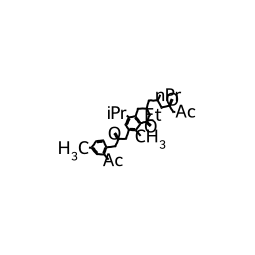 CCCC(CC1CC(=O)c2c(C)c(CC(=O)Cc3ccc(C)cc3C(C)=O)cc(C(C)C)c2C1)C(CC)C(=O)CC(C)=O